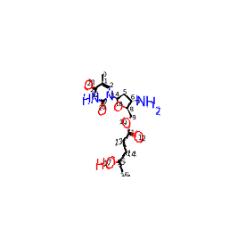 Cc1cn([C@H]2C[C@H](N)[C@@H](COC(=O)CCC(C)O)O2)c(=O)[nH]c1=O